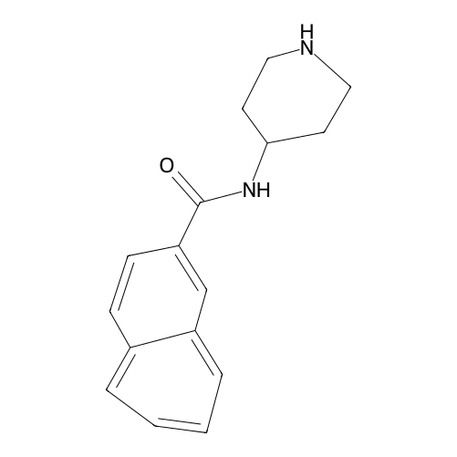 O=C(NC1CCNCC1)c1ccc2ccccc2c1